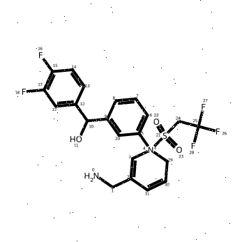 NCC1=C[N+](c2cccc(C(O)c3ccc(F)c(F)c3)c2)(S(=O)(=O)CC(F)(F)F)CC=C1